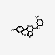 Oc1cc(Cl)ccc1-c1nnc(N[C@@H]2CCC[C@H](O)C2)n2cncc12